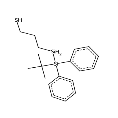 CC(C)(C)[Si]([SiH2]CCCS)(c1ccccc1)c1ccccc1